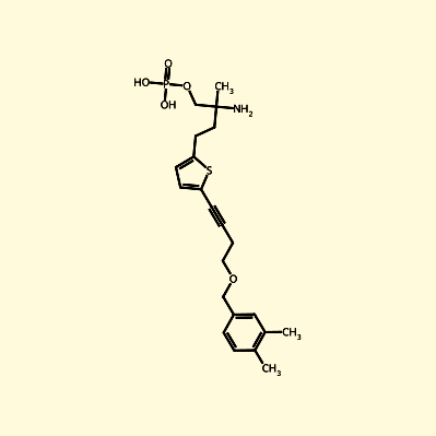 Cc1ccc(COCCC#Cc2ccc(CCC(C)(N)COP(=O)(O)O)s2)cc1C